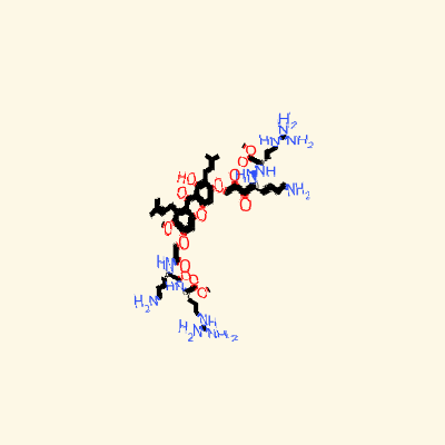 COC(=O)[C@H](CCCNC(N)N)NN[C@@H](CCCCN)C(=O)C(=O)COc1cc2oc3cc(OCC(=O)N[C@@H](CCCCN)C(=O)N[C@@H](CCCNC(N)N)C(=O)OC)c(OC)c(CC=C(C)C)c3c(=O)c2c(O)c1CC=C(C)C